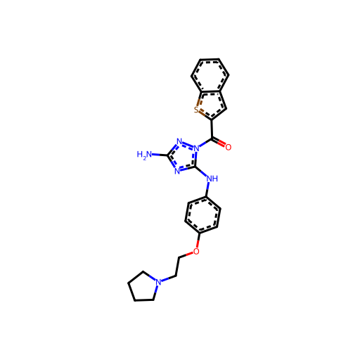 Nc1nc(Nc2ccc(OCCN3CCCC3)cc2)n(C(=O)c2cc3ccccc3s2)n1